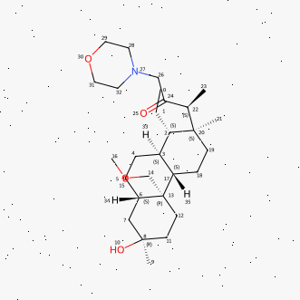 CC[C@H]1[C@@H]2CC[C@H]3C[C@](C)(O)CC[C@]3(COC)[C@H]2CC[C@]1(C)[C@H](C)C(=O)CN1CCOCC1